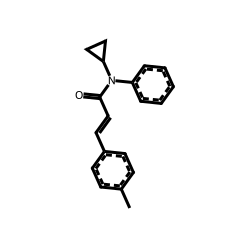 Cc1ccc(/C=C/C(=O)N(c2ccccc2)C2CC2)cc1